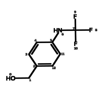 OCc1ccc(NC(F)(F)F)cc1